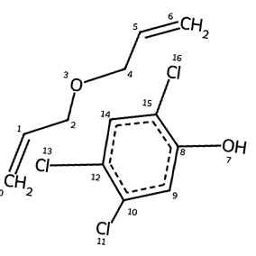 C=CCOCC=C.Oc1cc(Cl)c(Cl)cc1Cl